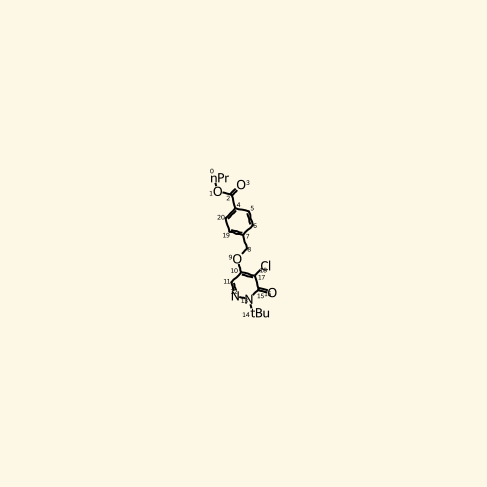 CCCOC(=O)c1ccc(COc2cnn(C(C)(C)C)c(=O)c2Cl)cc1